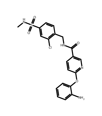 CNS(=O)(=O)c1ccc(CNC(=O)c2ccc(Oc3ccccc3N)nc2)c(Cl)c1